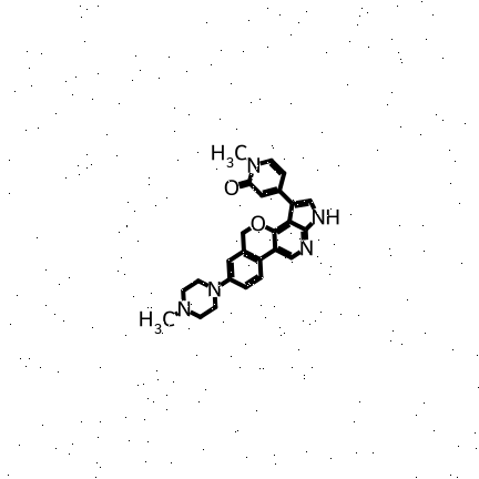 CN1CCN(c2ccc3c(c2)COc2c-3cnc3[nH]cc(-c4ccn(C)c(=O)c4)c23)CC1